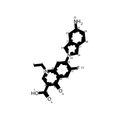 CCn1cc(C(=O)O)c(=O)c2cc(F)c(-n3cc4ccc(N)cc4c3)cc21